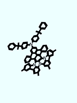 Cc1ccc2c(c1)c1cc(C)cc3c1n2-c1c2c(c4c5ccccc5c5cc(N(c6ccc(C(C)(C)c7ccccc7)cc6)c6ccc(C(C)(C)c7ccccc7)cc6)cc6c7ccccc7c1c4c65)-n1c4ccc(C)cc4c4cc(C)cc(c41)B23